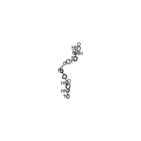 CN1CCC[C@@H]1c1cc2cnc(NC(=O)c3ccc(-c4cnn(CCOC5CCN(c6cccc(C(=O)N[C@H]7CCC(=O)NC7=O)n6)CC5)c4)cc3)cc2[nH]1